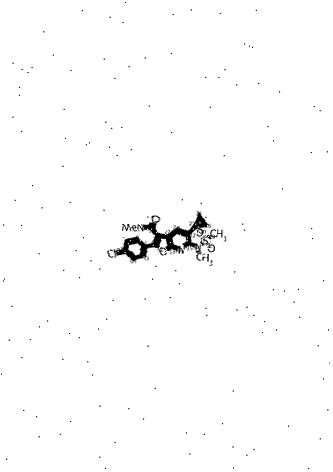 CNC(=O)c1c(-c2ccc(Cl)cc2)oc2nc(N(C)S(C)(=O)=O)c(C3CC3)cc12